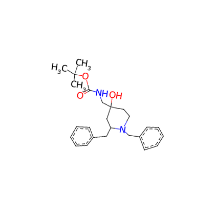 CC(C)(C)OC(=O)NCC1(O)CCN(Cc2ccccc2)C(Cc2ccccc2)C1